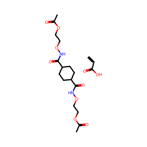 C=CC(=O)O.CC(=O)OCCONC(=O)C1CCC(C(=O)NOCCOC(C)=O)CC1